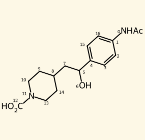 CC(=O)Nc1ccc(C(O)CC2CCN(C(=O)O)CC2)cc1